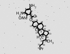 COc1c(N)cc(N)cc1C(=O)OC1CCC2(C)C(=CCC3C2CCC2(C)C(C(C)CCCC(C)C)CCC32)C1